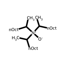 CCCCCCCCC(C)[N+]([O-])(C(C)CCCCCCCC)C(C)CCCCCCCC